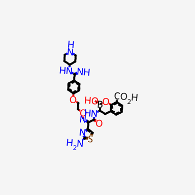 N=C(NC1CCNCC1)c1ccc(OCCON=C(C(=O)NC2Cc3cccc(C(=O)O)c3OB2O)c2csc(N)n2)cc1